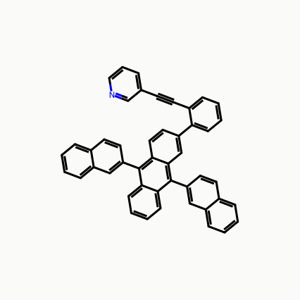 C(#Cc1ccccc1-c1ccc2c(-c3ccc4ccccc4c3)c3ccccc3c(-c3ccc4ccccc4c3)c2c1)c1cccnc1